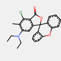 CCN(CC)c1cc2c(c(Cl)c1C)C(=O)OC21c2ccccc2Oc2ccccc21